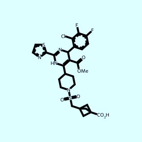 COC(=O)C1=C(C2CCN(S(=O)(=O)CC34CC(C(=O)O)(C3)C4)CC2)NC(c2nccs2)=NC1c1ccc(F)c(F)c1Cl